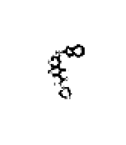 CCn1cc(C(=O)NN2CCOCC2)c(=O)c2cc(NC3C=C4CC=CC=C4C3)cnc21